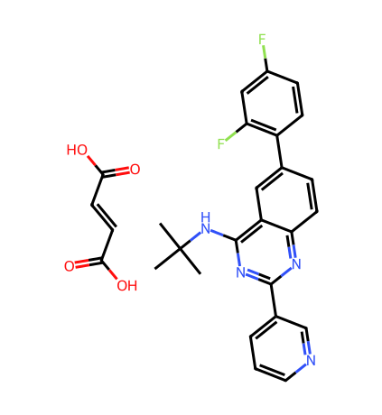 CC(C)(C)Nc1nc(-c2cccnc2)nc2ccc(-c3ccc(F)cc3F)cc12.O=C(O)C=CC(=O)O